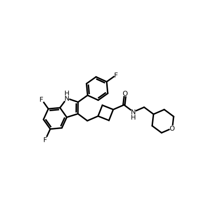 O=C(NCC1CCOCC1)C1CC(Cc2c(-c3ccc(F)cc3)[nH]c3c(F)cc(F)cc23)C1